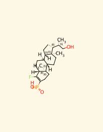 C[C@H](CO)[C@H]1CC[C@H]2[C@@H]3CC[C@H]4C(F)=C([PH](=O)O)CC[C@]4(C)[C@H]3CC[C@]12C